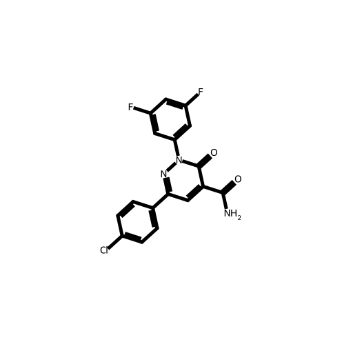 NC(=O)c1cc(-c2ccc(Cl)cc2)nn(-c2cc(F)cc(F)c2)c1=O